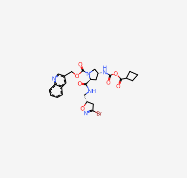 O=C(N[C@@H]1C[C@@H](C(=O)NC[C@@H]2CC(Br)=NO2)N(C(=O)OCc2cnc3ccccc3c2)C1)OC(=O)C1CCC1